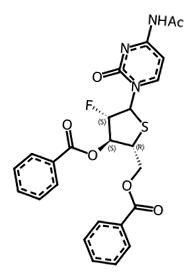 CC(=O)Nc1ccn(C2S[C@H](COC(=O)c3ccccc3)[C@@H](OC(=O)c3ccccc3)[C@@H]2F)c(=O)n1